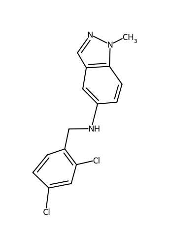 Cn1ncc2cc(NCc3ccc(Cl)cc3Cl)ccc21